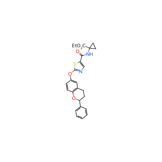 CCOC(=O)C1(NC(=O)c2cnc(Oc3ccc4c(c3)CCC(c3ccccc3)O4)s2)CC1